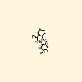 Cc1ccc2nc3c4ccccc4c(F)cn3c2c1